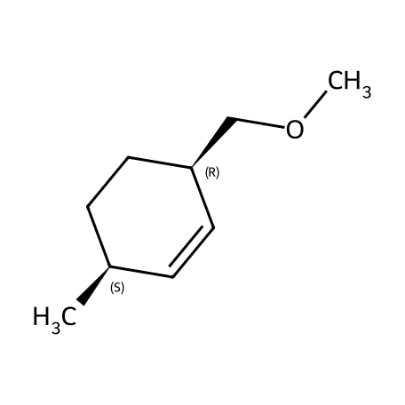 COC[C@H]1C=C[C@@H](C)CC1